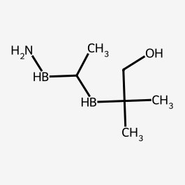 CC(BN)BC(C)(C)CO